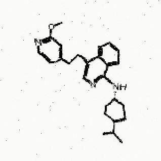 COc1cc(CCc2cnc(N[C@H]3CC[C@H](C(C)C)CC3)c3ccccc23)ccn1